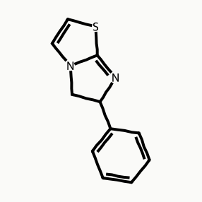 C1=CN2CC(c3ccccc3)N=C2S1